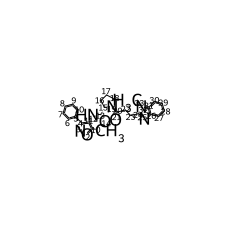 Cc1onc(-c2ccccc2)c1NC(=O)[C@@H]1CCCN1C(=O)CCc1nc2ccccc2n1C